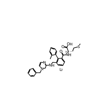 CSCC[C@H](NC(=O)c1cccc(CNC2=NC=CN(Cc3ccccc3)C2)c1-c1ccccc1C)C(=O)O.[Li]